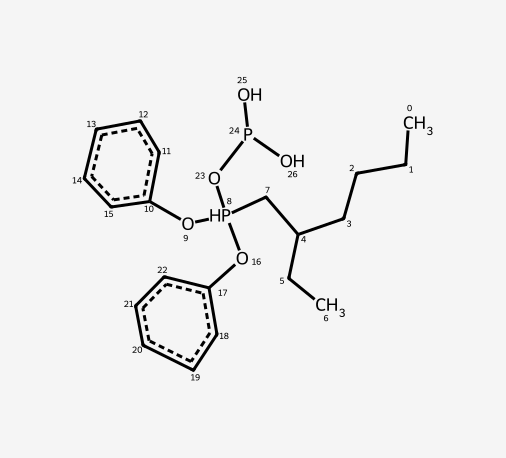 CCCCC(CC)C[PH](Oc1ccccc1)(Oc1ccccc1)OP(O)O